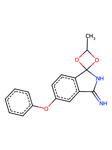 CC1OC2(NC(=N)c3cc(Oc4ccccc4)ccc32)O1